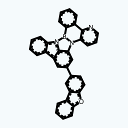 c1ccc2c(c1)B1N(c3cccnc3-2)c2cc(-c3ccc4oc5ccccc5c4c3)cc3c4ccccc4n1c23